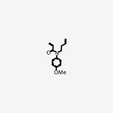 C=CCCN(C(=O)C=C)c1ccc(OC)cc1